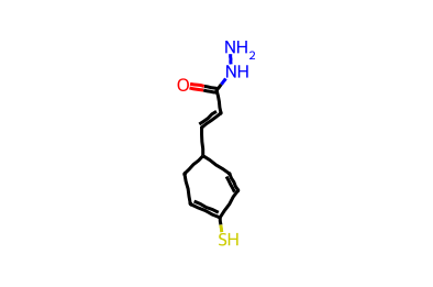 NNC(=O)C=CC1C=CC(S)=CC1